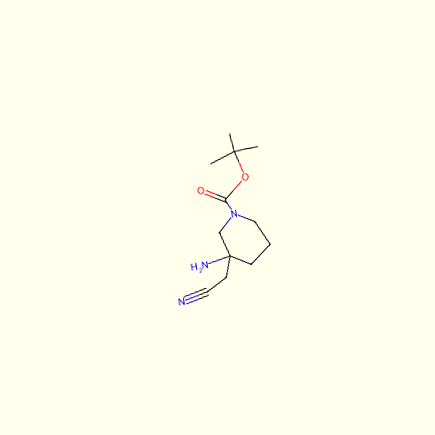 CC(C)(C)OC(=O)N1CCCC(N)(CC#N)C1